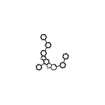 C1=C(c2cccc(-c3ccccc3)c2)CCC2Sc3c(cc4c(sc5ccc(-c6cccc(-c7ccccc7)c6)cc54)c3-c3ccccc3)C12